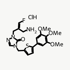 COc1cc(-c2ccc(Cn3cnn(C/C(=C/F)CN)c3=O)s2)cc(OC)c1OC.Cl